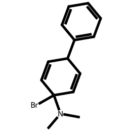 CN(C)C1(Br)C=CC(c2ccccc2)C=C1